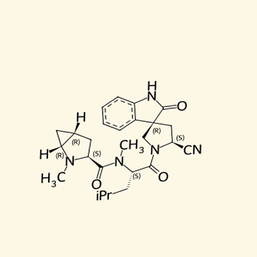 CC(C)C[C@@H](C(=O)N1C[C@]2(C[C@H]1C#N)C(=O)Nc1ccccc12)N(C)C(=O)[C@@H]1C[C@H]2C[C@H]2N1C